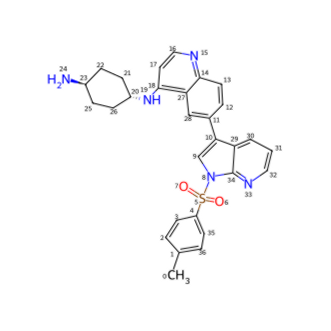 Cc1ccc(S(=O)(=O)n2cc(-c3ccc4nccc(N[C@H]5CC[C@H](N)CC5)c4c3)c3cccnc32)cc1